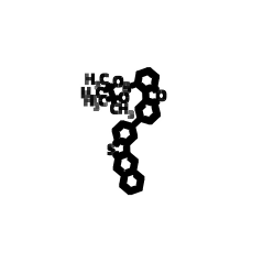 CC1(C)OB(c2cccc3oc4ccc(-c5ccc6sc7cc8ccccc8cc7c6c5)cc4c23)OC1(C)C